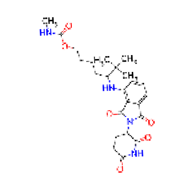 CNC(=O)OCCCCC(Nc1cccc2c1C(=O)N(C1CCC(=O)NC1=O)C2=O)C(C)(C)C